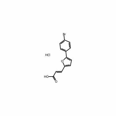 Cl.O=C(O)C=Cc1ccc(-c2ccc(Br)cc2)o1